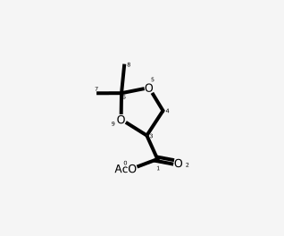 CC(=O)OC(=O)C1COC(C)(C)O1